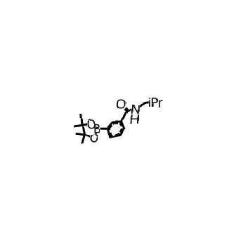 CC(C)CNC(=O)c1cccc(B2OC(C)(C)C(C)(C)O2)c1